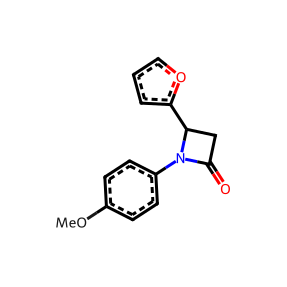 COc1ccc(N2C(=O)CC2c2ccco2)cc1